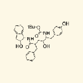 CC(C)(C)OC(=O)NC(Cc1ccc(O)cc1)C(O)CC(Cc1ccccc1)C(=O)N[C@H]1c2ccccc2C[C@@H]1O